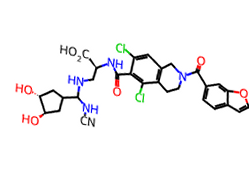 N#CNC(NC[C@H](NC(=O)c1c(Cl)cc2c(c1Cl)CCN(C(=O)c1ccc3ccoc3c1)C2)C(=O)O)C1C[C@@H](O)[C@H](O)C1